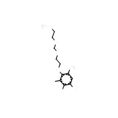 COCCOCOCCOc1c(C#N)cc(Cl)c(F)c1Br